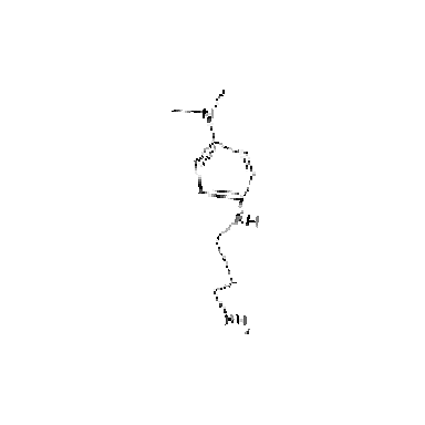 CN(C)c1ccc(NCCCN)cc1